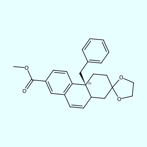 COC(=O)c1ccc2c(c1)C=CC1CC3(CC[C@@]21Cc1ccccc1)OCCO3